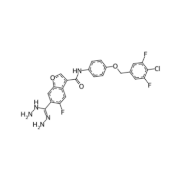 N/N=C(\NN)c1cc2occ(C(=O)Nc3ccc(OCc4cc(F)c(Cl)c(F)c4)cc3)c2cc1F